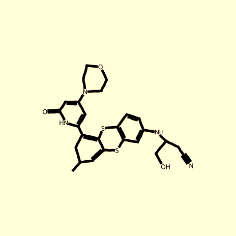 CC1C=C2Sc3cc(NC(CO)CC#N)ccc3SC2=C(c2cc(N3CCOCC3)cc(=O)[nH]2)C1